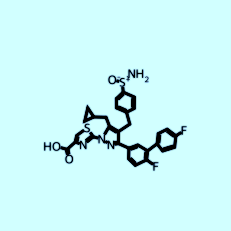 N[S+]([O-])c1ccc(Cc2c(-c3ccc(F)c(-c4ccc(F)cc4)c3)nn(-c3nc(C(=O)O)cs3)c2CC2CC2)cc1